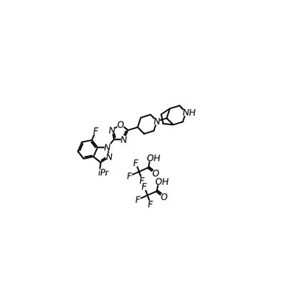 CC(C)c1nn(-c2noc(C3CCN(C4C5CCC4CNC5)CC3)n2)c2c(F)cccc12.O=C(O)C(F)(F)F.O=C(O)C(F)(F)F